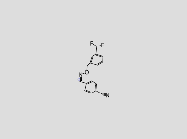 N#Cc1ccc(/[C]=N\OCc2cccc(C(F)F)c2)cc1